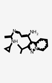 C=C(/N=C\C=C(/N)c1c(C(C)C)nn2ccccc12)NC1CC1